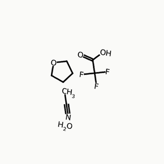 C1CCOC1.CC#N.O.O=C(O)C(F)(F)F